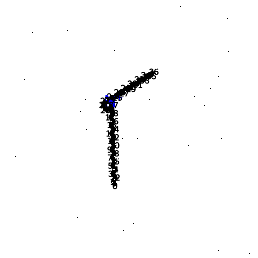 CCCCCCCCCCCCCCCCCCCc1ccc[n+](CCCCCCCCCCCCC)c1